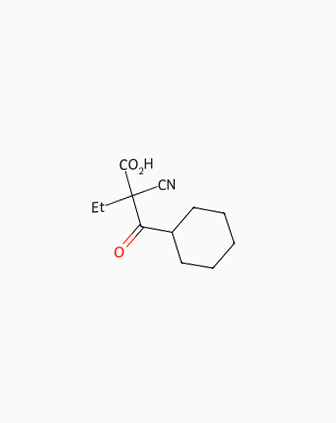 CCC(C#N)(C(=O)O)C(=O)C1CCCCC1